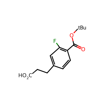 CC(C)(C)OC(=O)c1ccc(CCC(=O)O)cc1F